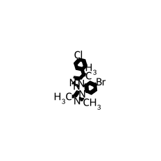 Cc1cn(-c2ccc(Br)cc2-n2nncc2C(C)c2ccc(Cl)cc2)c(C)n1